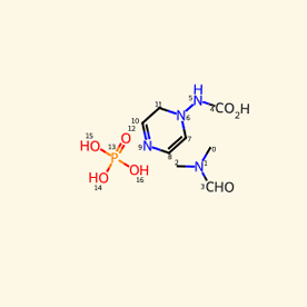 CN(C)C=O.O=C(O)NN1C=CN=CC1.O=P(O)(O)O